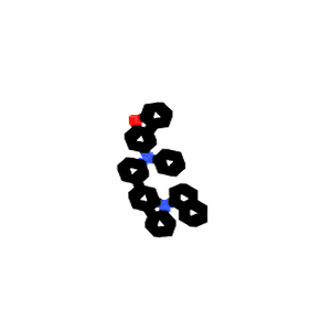 c1ccc(N(c2cccc(-c3ccc4c5ccccc5n(-c5cccc6ccccc56)c4c3)c2)c2ccc3oc4ccccc4c3c2)cc1